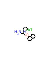 Cl.NCC(COc1cccc2ccccc12)N1CCCCC1